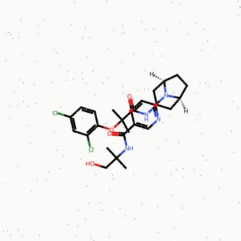 CC(C)(CO)NC(=O)c1ccc(N2[C@@H]3CC[C@H]2C[C@@H](NC(=O)C(C)(C)Oc2ccc(Cl)cc2Cl)C3)nc1